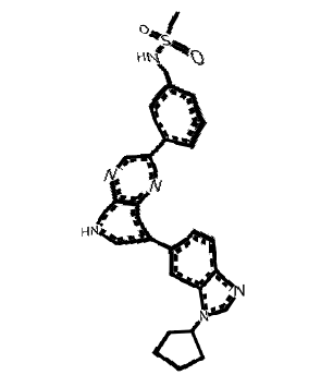 CS(=O)(=O)Nc1cccc(-c2cnc3[nH]cc(-c4ccc5ncn(C6CCCC6)c5c4)c3n2)c1